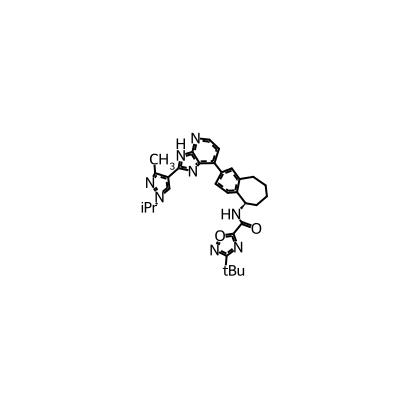 Cc1nn(C(C)C)cc1-c1nc2c(-c3ccc4c(c3)CCCC[C@H]4NC(=O)c3nc(C(C)(C)C)no3)ccnc2[nH]1